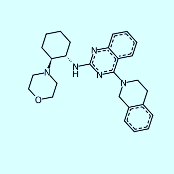 c1ccc2c(c1)CCN(c1nc(N[C@H]3CCCC[C@@H]3N3CCOCC3)nc3ccccc13)C2